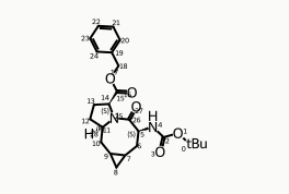 CC(C)(C)OC(=O)N[C@H]1CC2CC2C[C@H]2CC[C@@H](C(=O)OCc3ccccc3)N2C1=O